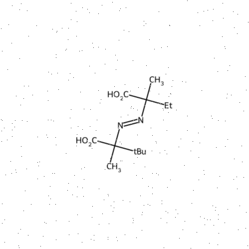 CCC(C)(/N=N/C(C)(C(=O)O)C(C)(C)C)C(=O)O